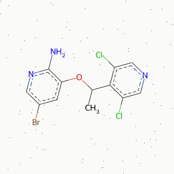 CC(Oc1cc(Br)cnc1N)c1c(Cl)cncc1Cl